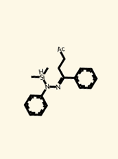 CC(=O)CCC(=NN(c1ccccc1)[SiH](C)C)c1ccccc1